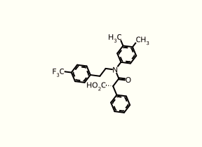 Cc1ccc(N(CCc2ccc(C(F)(F)F)cc2)C(=O)[C@@H](C(=O)O)c2ccccc2)cc1C